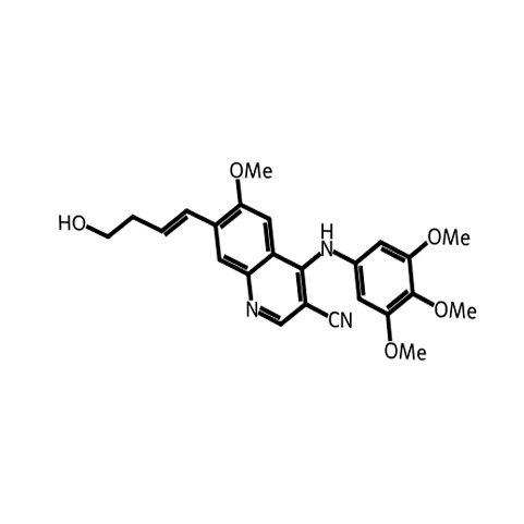 COc1cc2c(Nc3cc(OC)c(OC)c(OC)c3)c(C#N)cnc2cc1/C=C/CCO